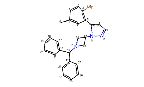 Cc1ccc(Br)c(-c2ccnn2C2CN(C(c3ccccc3)c3ccccc3)C2)c1